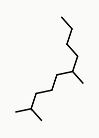 CCCCC(C)CCC[C](C)C